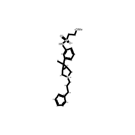 COCCS(=O)(=O)Nc1cccc(C2(C)C3CN(CCCc4ccccc4)CC32)c1